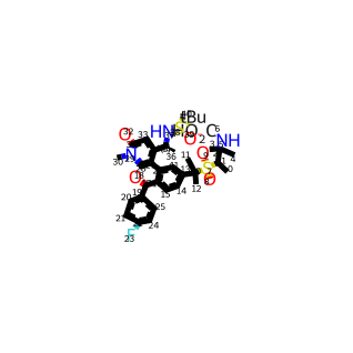 CC(C(C)(C)NC(=O)O)S(=O)(=O)C(C)(C)c1ccc(C(=O)c2ccc(F)cc2)c(-c2cn(C)c(=O)cc2[C@H](C)N[S+]([O-])C(C)(C)C)c1